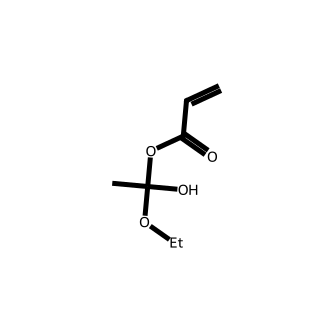 C=CC(=O)OC(C)(O)OCC